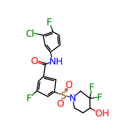 O=C(Nc1ccc(F)c(Cl)c1)c1cc(F)cc(S(=O)(=O)N2CCC(O)C(F)(F)C2)c1